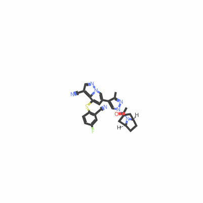 CC(=O)N1[C@@H]2CC[C@H]1C[C@H](n1cc(-c3cc(Sc4ccc(F)cc4C#N)c4c(C#N)cnn4c3)c(C)n1)C2